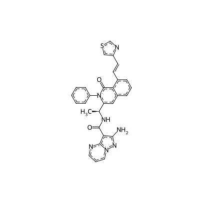 C[C@H](NC(=O)c1c(N)nn2cccnc12)c1cc2cccc(/C=C/c3cscn3)c2c(=O)n1-c1ccccc1